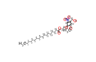 CCCCCCCCCCCCCCCCCC(=O)OCCOc1cc([N+](=O)[O-])c(C=O)cc1OC